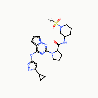 CS(=O)(=O)N1CCCC(NC(=O)C2CCCN2c2nc(Nc3cc(C4CC4)[nH]n3)c3cccn3n2)C1